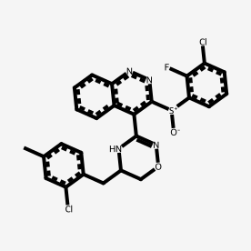 Cc1ccc(CC2CON=C(c3c([S+]([O-])c4cccc(Cl)c4F)nnc4ccccc34)N2)c(Cl)c1